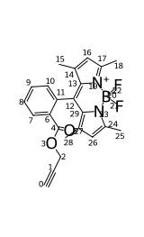 C#CCOC(=O)c1ccccc1C1=C2C(C)=CC(C)=[N+]2[B-](F)(F)n2c(C)cc(C)c21